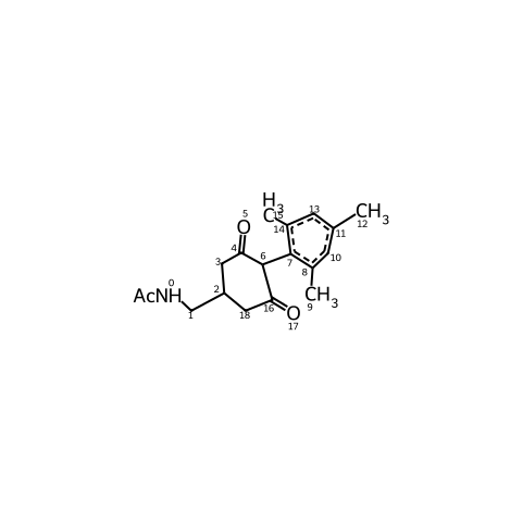 CC(=O)NCC1CC(=O)C(c2c(C)cc(C)cc2C)C(=O)C1